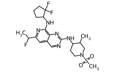 CC(F)c1cc2cnc(NC3CCN(S(C)(=O)=O)CC3C)nc2c(NC2CCCC2(F)F)n1